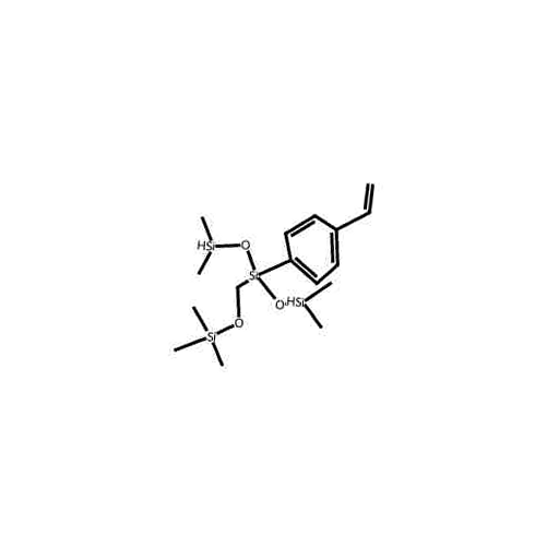 C=Cc1ccc([Si](CO[Si](C)(C)C)(O[SiH](C)C)O[SiH](C)C)cc1